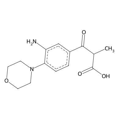 CC(C(=O)O)C(=O)c1ccc(N2CCOCC2)c(N)c1